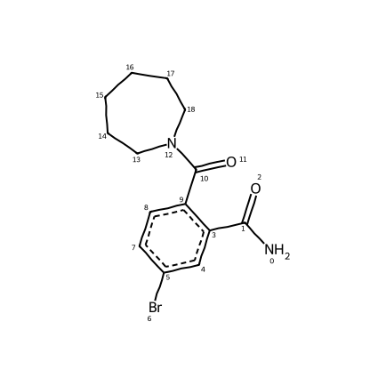 NC(=O)c1cc(Br)ccc1C(=O)N1CCCCCC1